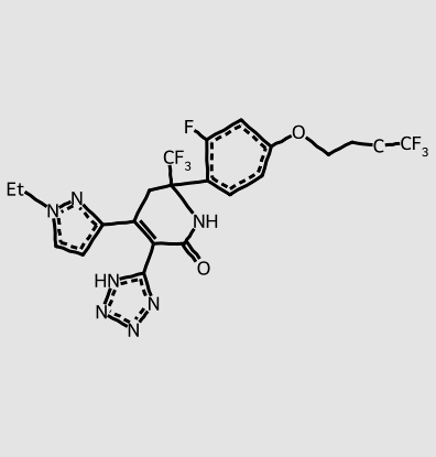 CCn1ccc(C2=C(c3nnn[nH]3)C(=O)NC(c3ccc(OCCCC(F)(F)F)cc3F)(C(F)(F)F)C2)n1